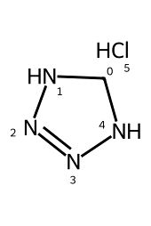 C1NN=NN1.Cl